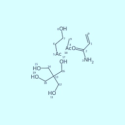 C=CC(N)=O.CC(=O)CCO.CC(C)=O.OCC(CO)(CO)CO